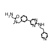 CN(Cc1cccc(-c2cnc(NCCc3ccncc3)nc2)c1)C(=O)CN